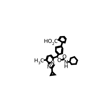 Cc1ccc([C@H](OC(=O)NC2CCCCC2)c2ccc(-c3ccccc3C(=O)O)cc2)n2cc(C3CC3)nc12